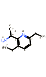 CC(C)Cc1ccc(CC(C)C)c(C(C)N)n1